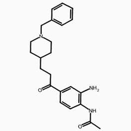 CC(=O)Nc1ccc(C(=O)CCC2CCN(Cc3ccccc3)CC2)cc1N